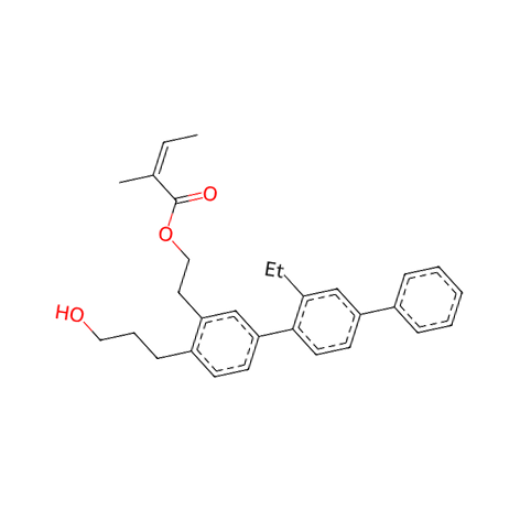 C/C=C(/C)C(=O)OCCc1cc(-c2ccc(-c3ccccc3)cc2CC)ccc1CCCO